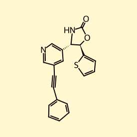 O=C1N[C@@H](c2cncc(C#Cc3ccccc3)c2)[C@H](c2cccs2)O1